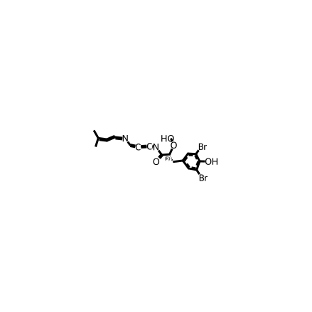 CC(C)=C=C=NC=C=C=NC(=O)[C@@H](Cc1cc(Br)c(O)c(Br)c1)OO